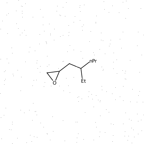 [CH2]CCC(CC)CC1CO1